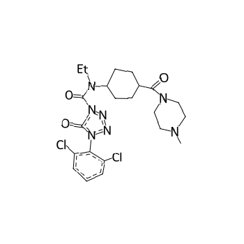 CCN(C(=O)n1nnn(-c2c(Cl)cccc2Cl)c1=O)C1CCC(C(=O)N2CCN(C)CC2)CC1